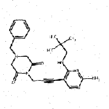 CC(C)(C)CNc1nc(N)ncc1C#CCN1C(=O)CN(Cc2ccccc2)CC1=O